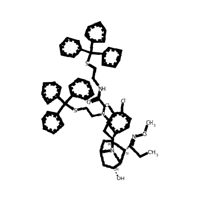 CCC(=NOC)[C@@H]1C2[C@H](O)CC(C[C@H]1c1ccc(Cl)c(Cl)c1)N2CCCN(CCSC(c1ccccc1)(c1ccccc1)c1ccccc1)CC(=O)NCCSC(c1ccccc1)(c1ccccc1)c1ccccc1